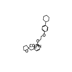 O=C(O)C1(Cc2ccnc(OCCOc3ccc(C4CCCCC4)cc3)c2)CCCO1